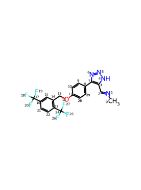 C/N=C/c1[nH]nnc1-c1ccc(OCc2cc(C(F)(F)F)ccc2C(F)(F)F)cc1